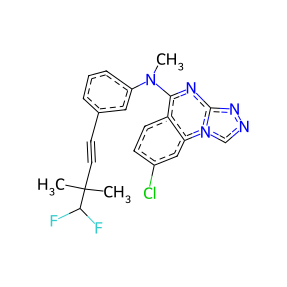 CN(c1cccc(C#CC(C)(C)C(F)F)c1)c1nc2nncn2c2cc(Cl)ccc12